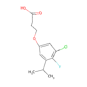 CC(C)c1cc(OCCC(=O)O)cc(Cl)c1F